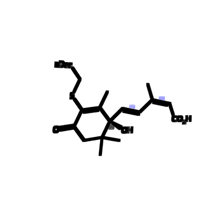 CCCCCCCCCCCSC1=C(C)[C@](O)(/C=C/C(C)=C\C(=O)O)C(C)(C)CC1=O